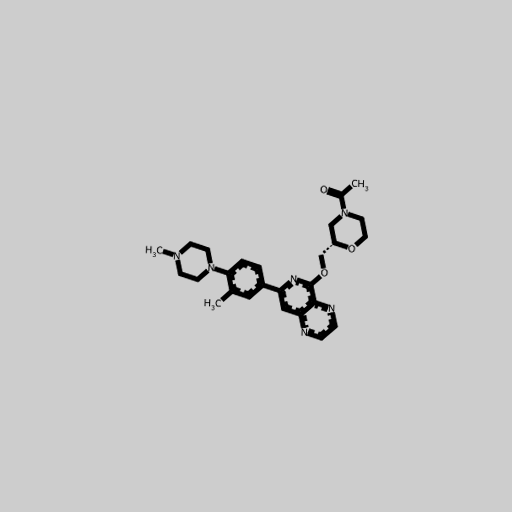 CC(=O)N1CCO[C@H](COc2nc(-c3ccc(N4CCN(C)CC4)c(C)c3)cc3nccnc23)C1